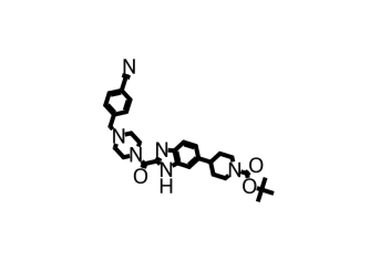 CC(C)(C)OC(=O)N1CCC(c2ccc3nc(C(=O)N4CCN(Cc5ccc(C#N)cc5)CC4)[nH]c3c2)CC1